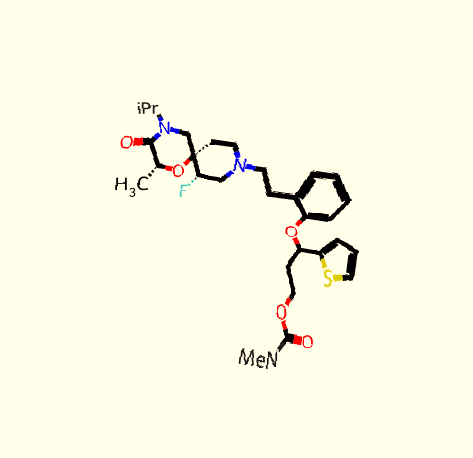 CNC(=O)OCCC(Oc1ccccc1CCN1CC[C@]2(CN(C(C)C)C(=O)[C@@H](C)O2)[C@@H](F)C1)c1cccs1